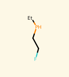 CCPCCF